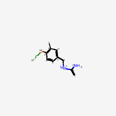 C=C(N)NCc1ccc(SF)c(C)c1